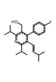 CC(C)C=Cc1c(C(C)C)nc(C(C)C)c(CO)c1-c1ccc(F)cc1